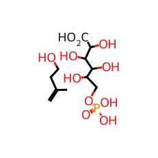 C=C(C)CCO.O=C(O)C(O)C(O)C(O)C(O)COP(=O)(O)O